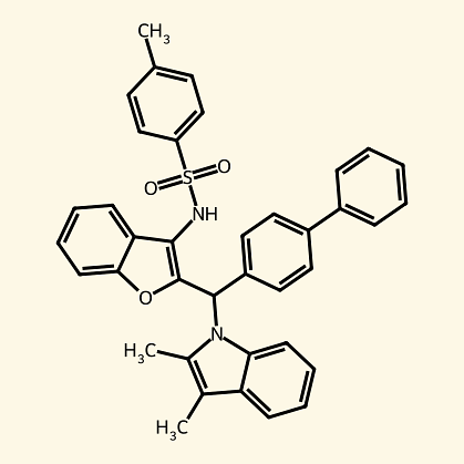 Cc1ccc(S(=O)(=O)Nc2c(C(c3ccc(-c4ccccc4)cc3)n3c(C)c(C)c4ccccc43)oc3ccccc23)cc1